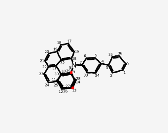 c1ccc(-c2ccc(N(c3ccccc3)c3cccc4ccc5ccc6ccccc6c5c34)cc2)cc1